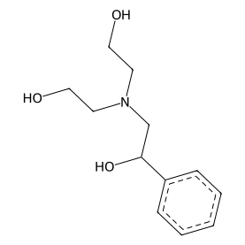 OCCN(CCO)CC(O)c1ccccc1